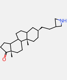 C[C@]12CC[C@H](CCC3CNC3)CC1CCC1C2CC[C@]2(C)C(=O)CCC12